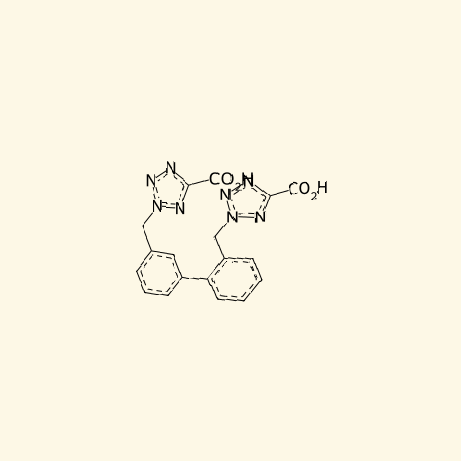 O=C(O)c1nnn(Cc2cccc(-c3ccccc3Cn3nnc(C(=O)O)n3)c2)n1